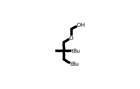 CC(C)(C)CC(C)(COCO)C(C)(C)C